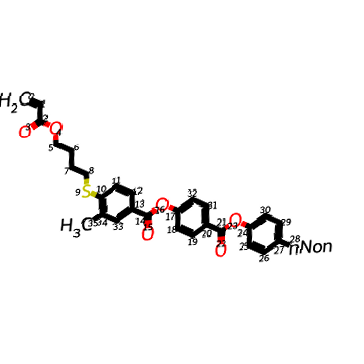 C=CC(=O)OCCCCSc1ccc(C(=O)Oc2ccc(C(=O)Oc3ccc(CCCCCCCCC)cc3)cc2)cc1C